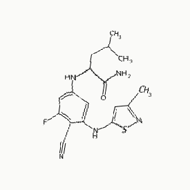 Cc1cc(Nc2cc(NC(CC(C)C)C(N)=O)cc(F)c2C#N)sn1